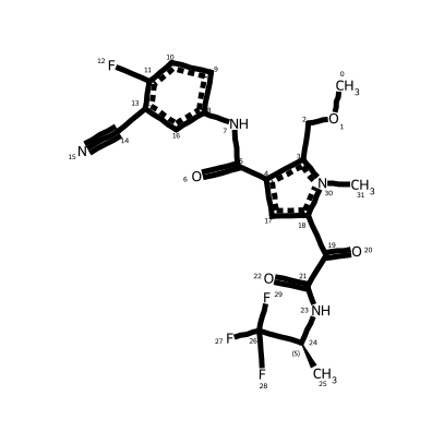 COCc1c(C(=O)Nc2ccc(F)c(C#N)c2)cc(C(=O)C(=O)N[C@@H](C)C(F)(F)F)n1C